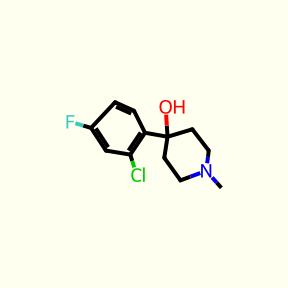 CN1CCC(O)(c2ccc(F)cc2Cl)CC1